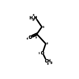 COCC(=O)CN